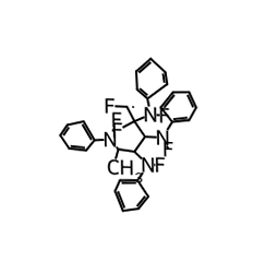 CC(C(C(N(F)c1ccccc1)C(F)([CH]F)N(F)c1ccccc1)N(F)c1ccccc1)N(F)c1ccccc1